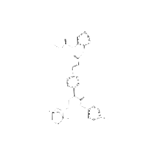 CC(C)(C)OC(=O)Nc1ccccc1NC(=O)C=Cc1ccc(C(CCN2C[C@@H]3C[C@H]2CO3)C(=O)Nc2ccc(Br)cc2)cc1